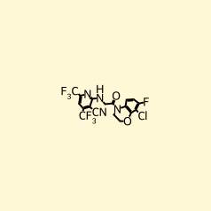 N#Cc1c(C(F)(F)F)cc(C(F)(F)F)nc1NCC(=O)N1CCOc2c1ccc(F)c2Cl